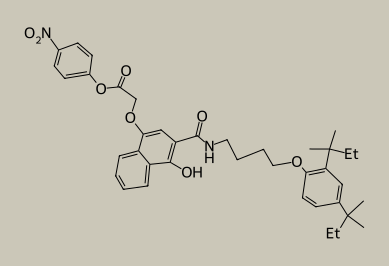 CCC(C)(C)c1ccc(OCCCCNC(=O)c2cc(OCC(=O)Oc3ccc([N+](=O)[O-])cc3)c3ccccc3c2O)c(C(C)(C)CC)c1